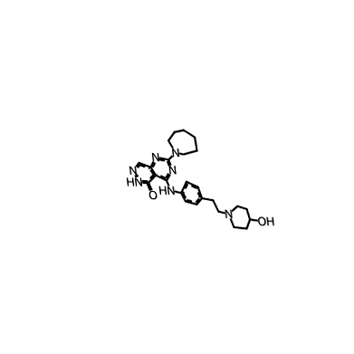 O=c1[nH]ncc2nc(N3CCCCCC3)nc(Nc3ccc(CCN4CCC(O)CC4)cc3)c12